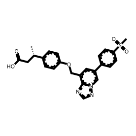 C[C@@H](CC(=O)O)c1ccc(OCc2cc(-c3ccc(S(C)(=O)=O)cc3)cn3ncnc23)cc1